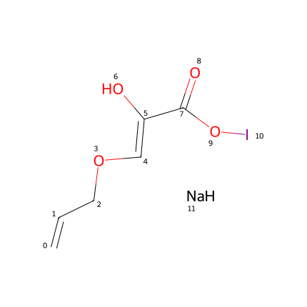 C=CCOC=C(O)C(=O)OI.[NaH]